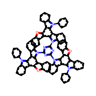 c1ccc(-n2c3ccccc3c3c4oc5ccccc5c4c4c(c5ccccc5n4-c4nc(-n5c6ccccc6c6c7c(c8ccccc8n7-c7ccccc7)c7oc8ccccc8c7c65)nc(-n5c6ccccc6c6c7c(c8ccccc8n7-c7ccccc7)c7oc8ccccc8c7c65)n4)c32)cc1